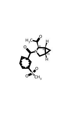 CC(=O)[C@H]1[C@@H]2C[C@@H]2CN1C(=O)c1cccc(S(C)(=O)=O)c1